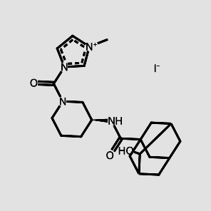 C[n+]1ccn(C(=O)N2CCC[C@H](NC(=O)C34CC5CC(C3)C(O)C(C5)C4)C2)c1.[I-]